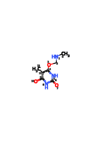 CNCOc1[nH]c(=O)[nH]c(=O)c1C